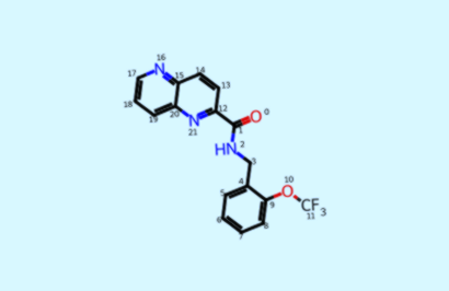 O=C(NCc1ccccc1OC(F)(F)F)c1ccc2ncccc2n1